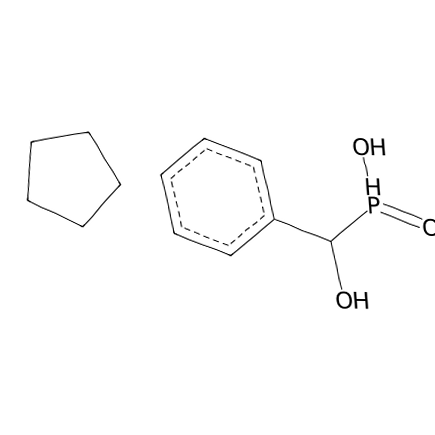 C1CCCC1.O=[PH](O)C(O)c1ccccc1